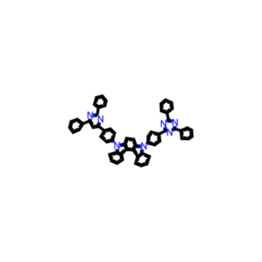 c1ccc(-c2cc(-c3ccc(-n4c5ccccc5c5c6c7ccccc7n(-c7ccc(-c8nc(-c9ccccc9)nc(-c9ccccc9)n8)cc7)c6ccc54)cc3)nc(-c3ccccc3)n2)cc1